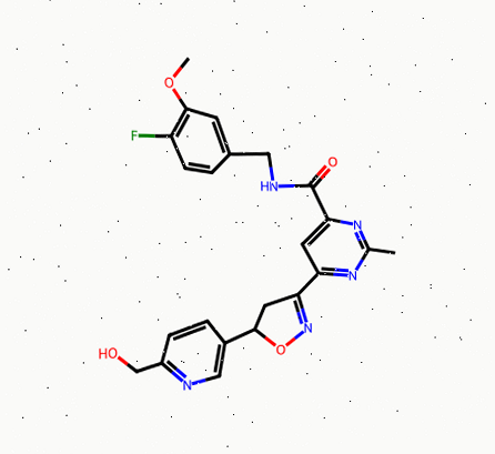 COc1cc(CNC(=O)c2cc(C3=NOC(c4ccc(CO)nc4)C3)nc(C)n2)ccc1F